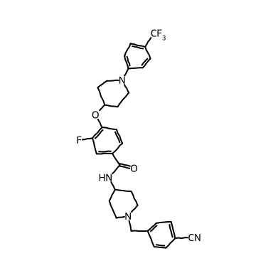 N#Cc1ccc(CN2CCC(NC(=O)c3ccc(OC4CCN(c5ccc(C(F)(F)F)cc5)CC4)c(F)c3)CC2)cc1